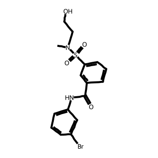 CN(CCO)S(=O)(=O)c1cccc(C(=O)Nc2cccc(Br)c2)c1